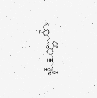 CC(C)Cc1ccc(CCCOc2ccc(CNCCCP(=O)(O)O)cc2-c2cccs2)cc1F